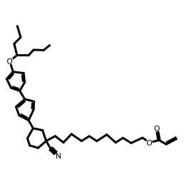 C=CC(=O)OCCCCCCCCCCCC1(C#N)CCCC(c2ccc(-c3ccc(OC(CCC)CCCC)cc3)cc2)C1